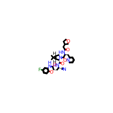 CC1(C)[C@@H]2[C@@H](C(=O)N[C@H](C#N)C[C@@H]3Oc4ccc(F)cc4NC3=O)N(C(=O)[C@H](Cc3ccccn3)NC(=O)CC3CCOC3)C[C@@H]21